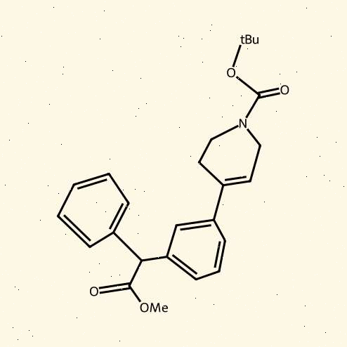 COC(=O)C(c1ccccc1)c1cccc(C2=CCN(C(=O)OC(C)(C)C)CC2)c1